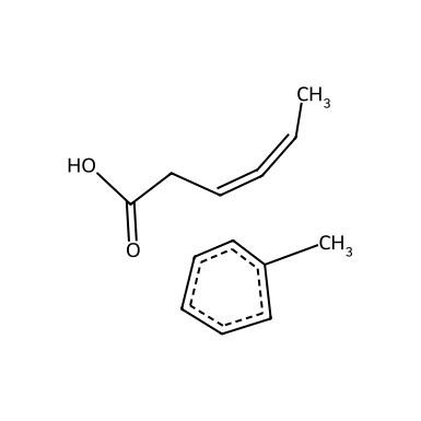 CC=C=CCC(=O)O.Cc1ccccc1